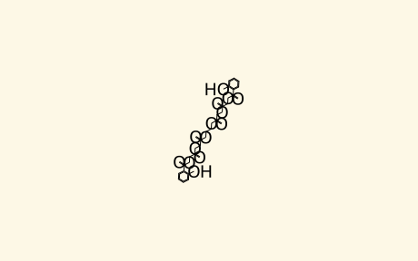 O=C(COC(=O)COC(=O)c1ccccc1O)OCCOC(=O)COC(=O)COC(=O)c1ccccc1O